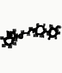 Cc1cccc(C2CCN(CCCOn3cnc4ccccc43)CC2)c1